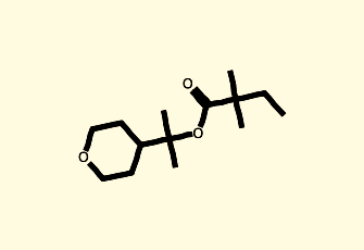 CCC(C)(C)C(=O)OC(C)(C)C1CCOCC1